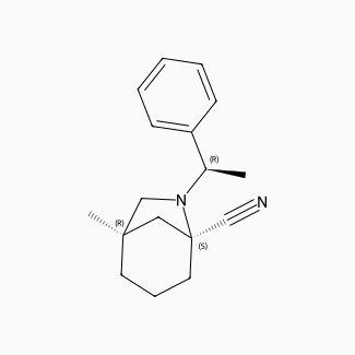 C[C@H](c1ccccc1)N1C[C@]2(C)CCC[C@@]1(C#N)C2